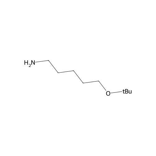 CC(C)(C)OCCCCCN